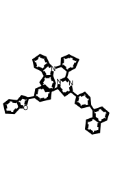 c1ccc(-n2c3ccccc3c3ccccc32)c(-c2nc(-c3ccc(-c4cc5ccccc5o4)cc3)cc(-c3ccc(-c4cccc5ccccc45)cc3)n2)c1